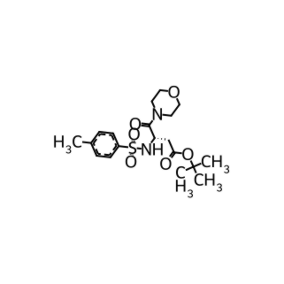 Cc1ccc(S(=O)(=O)N[C@@H](CC(=O)OC(C)(C)C)C(=O)N2CCOCC2)cc1